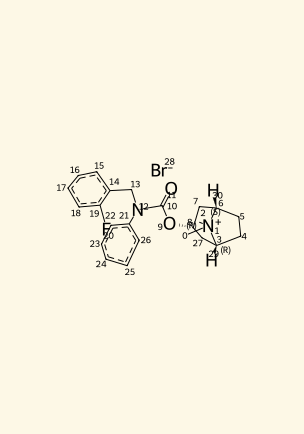 C[N+]1(C)[C@@H]2CC[C@H]1C[C@@H](OC(=O)N(Cc1ccccc1F)c1ccccc1)C2.[Br-]